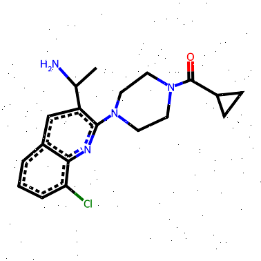 CC(N)c1cc2cccc(Cl)c2nc1N1CCN(C(=O)C2CC2)CC1